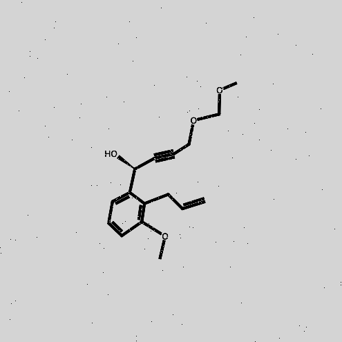 C=CCc1c(OC)cccc1[C@@H](O)C#CCOCOC